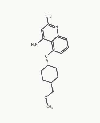 COC[C@H]1CC[C@H](Oc2cccc3nc(C)cc(N)c23)CC1